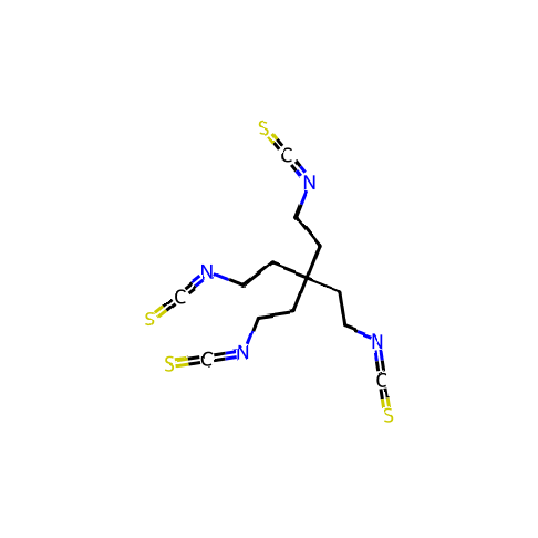 S=C=NCCC(CCN=C=S)(CCN=C=S)CCN=C=S